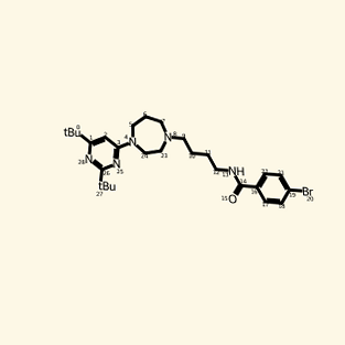 CC(C)(C)c1cc(N2CCCN(CCCCNC(=O)c3ccc(Br)cc3)CC2)nc(C(C)(C)C)n1